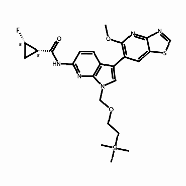 COc1nc2ncsc2cc1-c1cn(COCC[Si](C)(C)C)c2nc(NC(=O)[C@@H]3C[C@@H]3F)ccc12